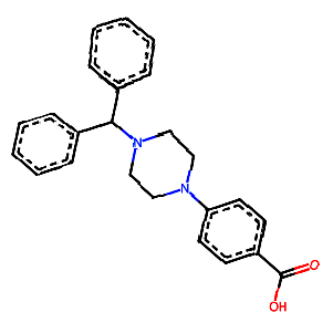 O=C(O)c1ccc(N2CCN(C(c3ccccc3)c3ccccc3)CC2)cc1